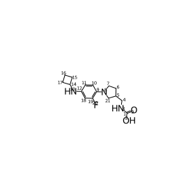 O=C(O)NCC1CCN(c2ccc(NC3CCC3)cc2F)C1